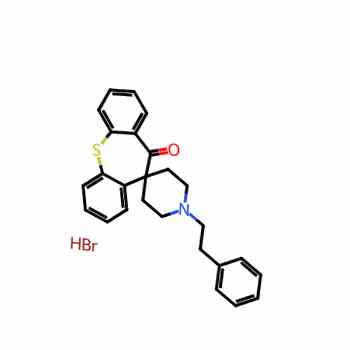 Br.O=C1c2ccccc2Sc2ccccc2C12CCN(CCc1ccccc1)CC2